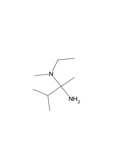 CCN(C)C(C)(N)C(C)C